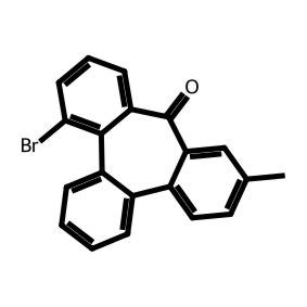 Cc1ccc2c(c1)c(=O)c1cccc(Br)c1c1ccccc21